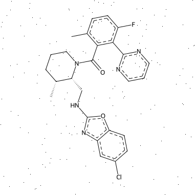 Cc1ccc(F)c(-c2ncccn2)c1C(=O)N1CCC[C@@H](C)[C@H]1CNc1nc2cc(Cl)ccc2o1